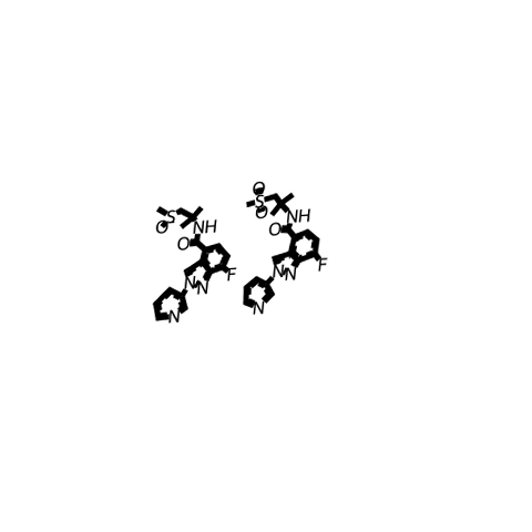 CC(C)(CS(C)(=O)=O)NC(=O)c1ccc(F)c2nn(-c3cccnc3)cc12.C[S+]([O-])CC(C)(C)NC(=O)c1ccc(F)c2nn(-c3cccnc3)cc12